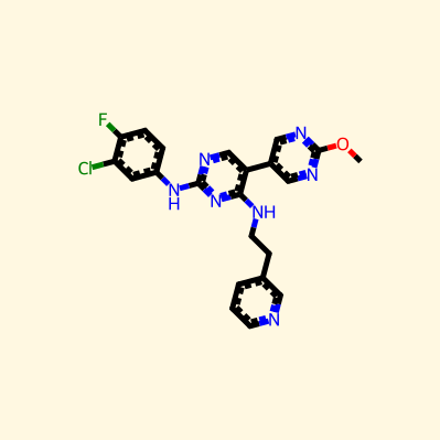 COc1ncc(-c2cnc(Nc3ccc(F)c(Cl)c3)nc2NCCc2cccnc2)cn1